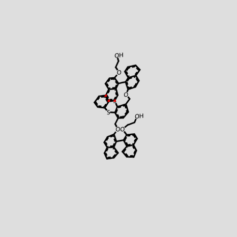 OCCOc1ccc2ccccc2c1-c1c(OCc2ccc(COc3ccc4ccccc4c3-c3c(OCCO)ccc4ccccc34)c3c2Sc2ccccc2S3)ccc2ccccc12